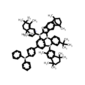 C=C/C(=C\C1=C(C)C(C)(C)CCC1(C)C)N1c2cc(-c3ccc(N(c4ccccc4)c4ccccc4)cc3)cc3c2B(c2ccc(C(C)(C)C)cc2N3c2cc3c(cc2C)C(C)(C)CCC3(C)C)c2c1oc1cc3c(cc21)C1(C)CCC3(C)CC1